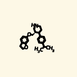 CC(C)c1ccc(C2CCNC[C@H]2COc2ccc3c(c2)OCC3)cc1